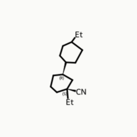 CCC1CCC([C@@H]2CCC[C@@](C#N)(CC)C2)CC1